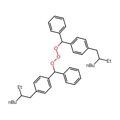 CCCCC(CC)Cc1ccc(C(OOOC(c2ccccc2)c2ccc(CC(CC)CCCC)cc2)c2ccccc2)cc1